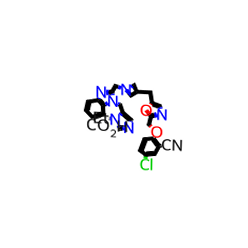 CCn1cncc1Cn1c(CN2CC(Cc3cnc(COc4ccc(Cl)cc4C#N)o3)C2)nc2ccc(C(=O)O)cc21